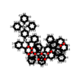 c1ccc([Si](c2ccccc2)(c2ccccc2)c2ccc(-c3ccccc3N(c3ccc([Si](c4ccccc4)(c4ccccc4)c4ccccc4)cc3)c3cc4c5ccccc5c(N(c5ccc([Si](c6ccccc6)(c6ccccc6)c6ccccc6)cc5)c5ccccc5-c5ccc([Si](c6ccccc6)(c6ccccc6)c6ccccc6)cc5)cc4c4ccccc34)cc2)cc1